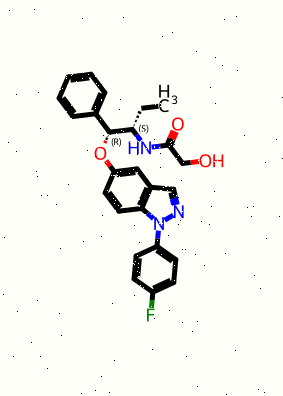 CC[C@H](NC(=O)CO)[C@H](Oc1ccc2c(cnn2-c2ccc(F)cc2)c1)c1ccccc1